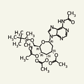 CC(=O)Nc1ncnc2c1ncn2[C@H]1C[C@H](OC(C)=O)[C@H](OC(C)=O)[C@H](OC(C)=O)[C@@H](CO[Si](C)(C)C(C)(C)C)O1